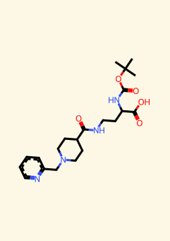 CC(C)(C)OC(=O)NC(CCNC(=O)C1CCN(Cc2ccccn2)CC1)C(=O)O